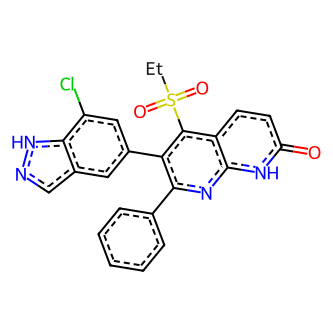 CCS(=O)(=O)c1c(-c2cc(Cl)c3[nH]ncc3c2)c(-c2ccccc2)nc2[nH]c(=O)ccc12